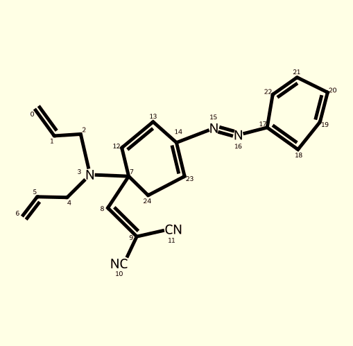 C=CCN(CC=C)C1(C=C(C#N)C#N)C=CC(N=Nc2ccccc2)=CC1